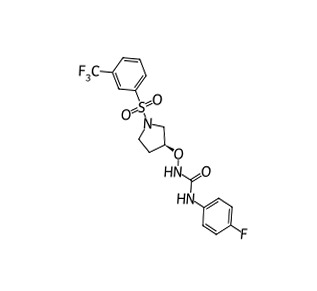 O=C(NO[C@H]1CCN(S(=O)(=O)c2cccc(C(F)(F)F)c2)C1)Nc1ccc(F)cc1